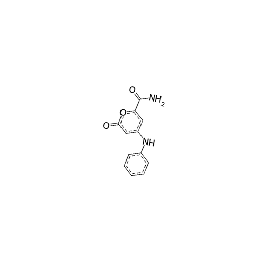 NC(=O)c1cc(Nc2ccccc2)cc(=O)o1